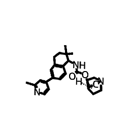 Cc1cc(-c2ccc3c(c2)CCC(C)(C)C3NC(=O)O[C@H]2CN3CCC2CC3)ccn1